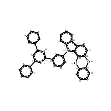 c1ccc(-c2cc(-c3ccccc3)nc(-c3cccc(-n4c5ccccc5c5ccc6c(c54)Oc4ccccc4O6)c3)n2)cc1